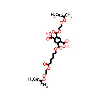 C=C=C(C)OOCCOC(=O)CCCCCOC(=O)c1cc(C(=O)O)c(C(=O)OCCOOC(C)=C=C)cc1C(=O)O